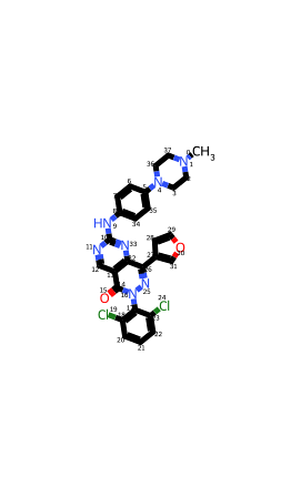 CN1CCN(c2ccc(Nc3ncc4c(=O)n(-c5c(Cl)cccc5Cl)nc(-c5ccoc5)c4n3)cc2)CC1